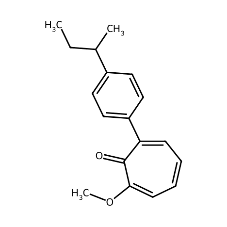 CCC(C)c1ccc(-c2ccccc(OC)c2=O)cc1